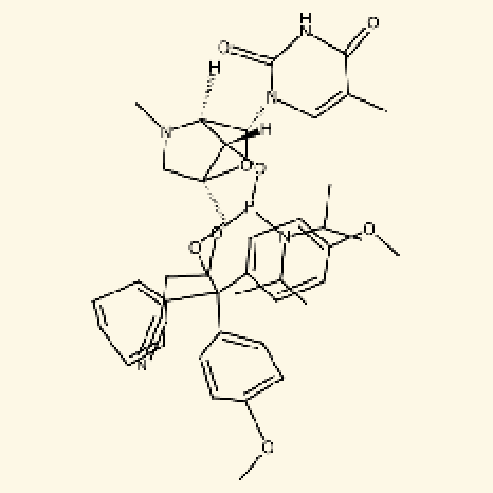 COc1ccc(C(OC[C@@]23CN(C)[C@@H]([C@H](n4cc(C)c(=O)[nH]c4=O)O2)[C@@H]3OP(OCCC#N)N(C(C)C)C(C)C)(c2ccccc2)c2ccc(OC)cc2)cc1